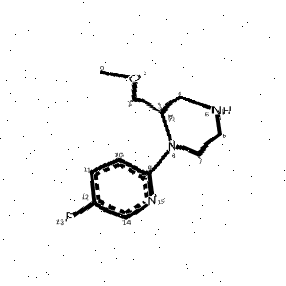 COC[C@H]1CNCCN1c1ccc(F)cn1